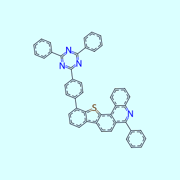 c1ccc(-c2nc(-c3ccccc3)nc(-c3ccc(-c4cccc5c4sc4c5ccc5c(-c6ccccc6)nc6ccccc6c54)cc3)n2)cc1